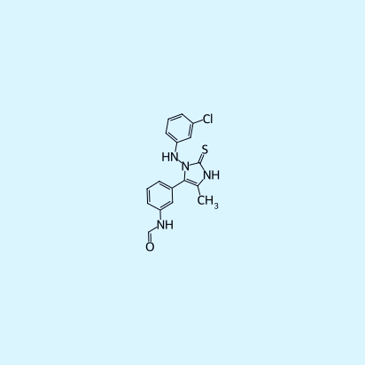 Cc1[nH]c(=S)n(Nc2cccc(Cl)c2)c1-c1cccc(NC=O)c1